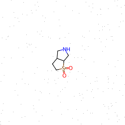 O=S1(=O)CCC2CNCC21